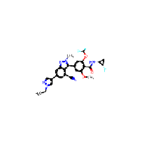 CCn1cc(-c2cc(C#N)c3c(-c4cc(OC)c(C(=O)N[C@@H]5C[C@@H]5F)c(OC(F)F)c4)n(C)nc3c2)cn1